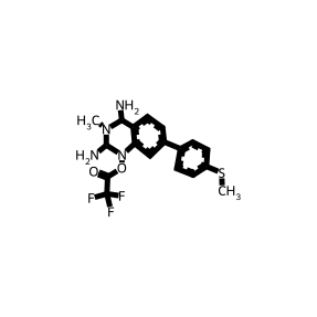 CSc1ccc(-c2ccc3c(c2)N(OC(=O)C(F)(F)F)C(N)N(C)C3N)cc1